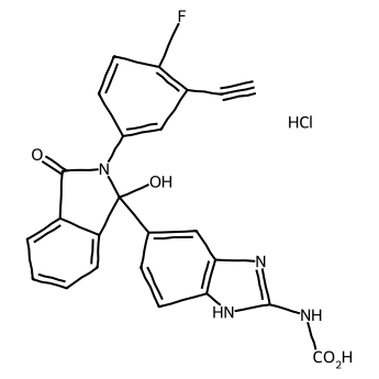 C#Cc1cc(N2C(=O)c3ccccc3C2(O)c2ccc3[nH]c(NC(=O)O)nc3c2)ccc1F.Cl